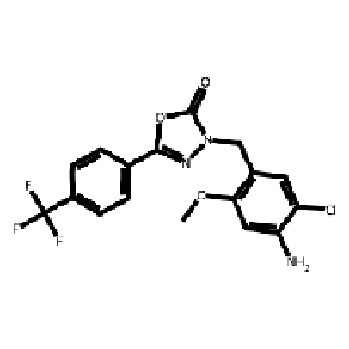 COc1cc(N)c(Cl)cc1Cn1nc(-c2ccc(C(F)(F)F)cc2)oc1=O